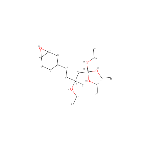 CCO[Si](C)(CCC1CCC2OC2C1)C[Si](OCC)(OCC)OCC